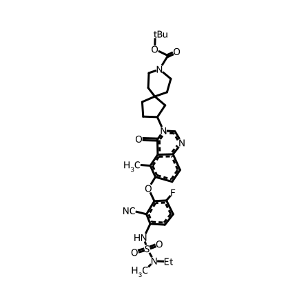 CCN(C)S(=O)(=O)Nc1ccc(F)c(Oc2ccc3ncn(C4CCC5(CCN(C(=O)OC(C)(C)C)CC5)C4)c(=O)c3c2C)c1C#N